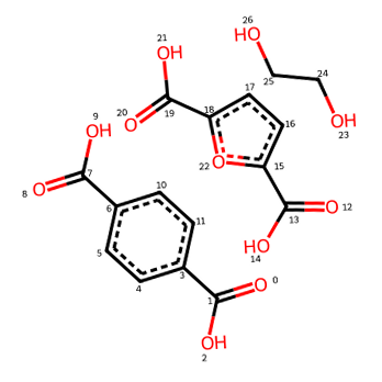 O=C(O)c1ccc(C(=O)O)cc1.O=C(O)c1ccc(C(=O)O)o1.OCCO